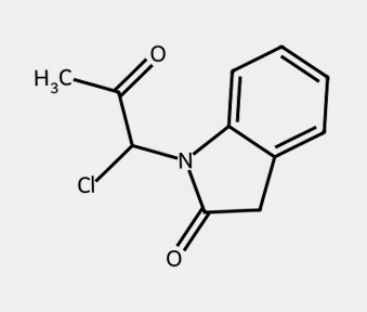 CC(=O)C(Cl)N1C(=O)Cc2ccccc21